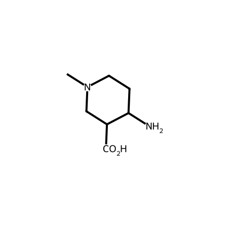 CN1CCC(N)C(C(=O)O)C1